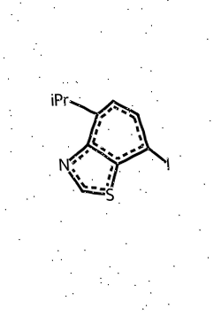 CC(C)c1ccc(I)c2scnc12